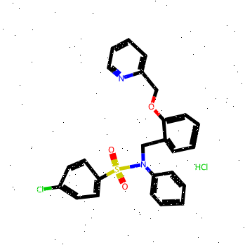 Cl.O=S(=O)(c1ccc(Cl)cc1)N(Cc1ccccc1OCc1ccccn1)c1ccccc1